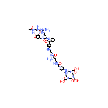 CCC(=O)NCCNC(=O)/N=C(/N)NCCC[C@@H](NC(=O)[C@@H](c1ccccc1)c1ccc(NCCCNC(=O)[C@H](N)CCCNC(=O)CN2CCC(NCN3CCN(CC(=O)O)CCN(CC(=O)O)CCN(CC(=O)O)CC3)CC2)cc1)C(=O)NCc1ccc(O)cc1